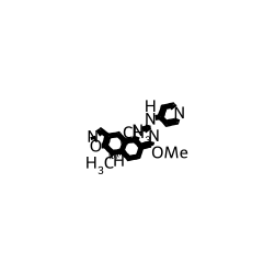 COc1nc(Nc2ccncc2)nc2c1CC[C@@H]1[C@@H](C)c3oncc3C[C@@]21C